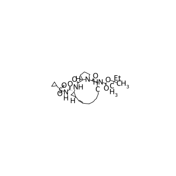 CCC(C)(C)OC(=O)N[C@H]1CCCCC/C=C\[C@@H]2C[C@@]2(C(=O)NS(=O)(=O)C2CC2)NC(=O)[C@@H]2CCCN2C1=O